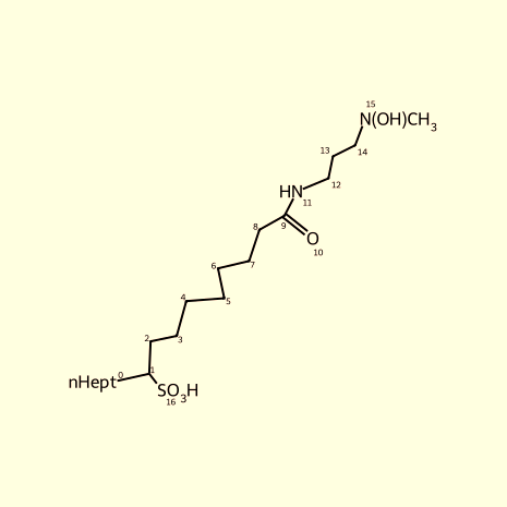 CCCCCCCC(CCCCCCCC(=O)NCCCN(C)O)S(=O)(=O)O